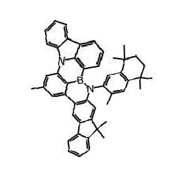 Cc1cc2c3c(c1)-n1c4ccccc4c4cccc(c41)B3N(c1cc3c(cc1C)C(C)(C)CCC3(C)C)c1cc3c(cc1-2)-c1ccccc1C3(C)C